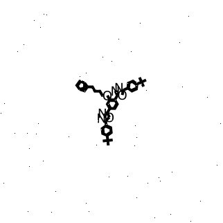 CC(C)(C)c1ccc(-c2nnc(-c3ccc(-c4nnc(-c5ccc(C(C)(C)C)cc5)o4)c(OCCCCC4CC5C=CC4C5)c3)o2)cc1